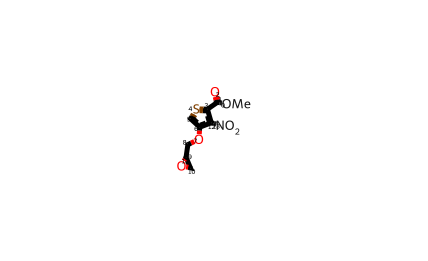 COC(=O)c1scc(OCC2CO2)c1[N+](=O)[O-]